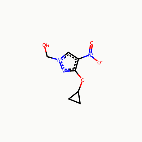 O=[N+]([O-])c1cn(CO)nc1OC1CC1